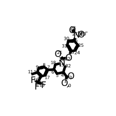 COC(=O)C1CC(c2ccc(C)c(C(F)(F)F)c2)CN(C(=O)Oc2ccc([N+](=O)[O-])cc2)C1